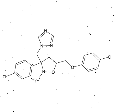 CN1OC(COc2ccc(Cl)cc2)CC1(Cn1cncn1)c1ccc(Cl)cc1